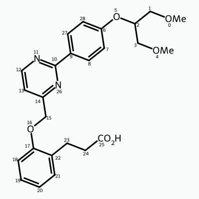 COCC(COC)Oc1ccc(-c2nccc(COc3ccccc3CCC(=O)O)n2)cc1